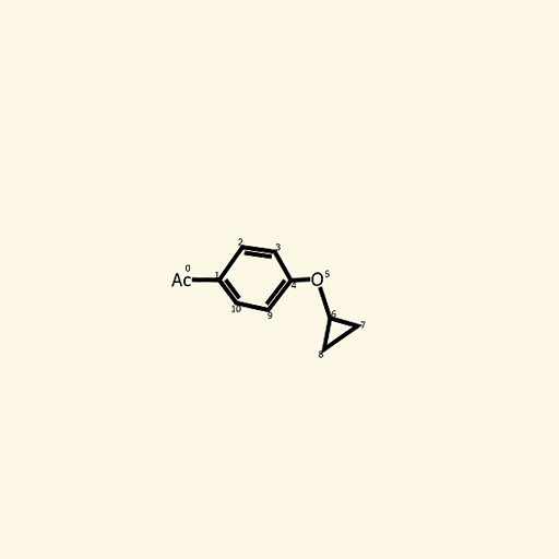 CC(=O)c1ccc(OC2CC2)cc1